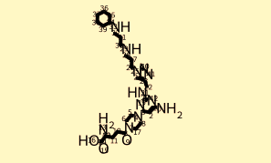 Nc1cc(N2CCN(C(=O)CC[C@H](N)C(=O)O)CC2)nc(NCc2cn(CCCNCCCNC3CCCCC3)nn2)n1